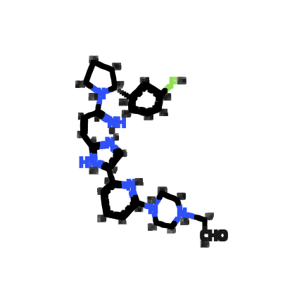 N=C(/C=C\c1ncc(-c2cccc(N3CCN(CC=O)CC3)n2)[nH]1)N1CCC[C@@H]1c1cccc(F)c1